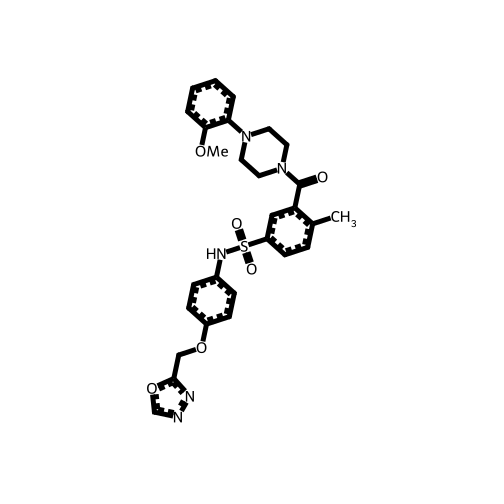 COc1ccccc1N1CCN(C(=O)c2cc(S(=O)(=O)Nc3ccc(OCc4nnco4)cc3)ccc2C)CC1